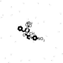 Cc1c(C(=O)N2CCN(C(=O)OC(C)(C)C)CC2Cc2ccccc2)ccn1-c1ccc([N+](=O)[O-])cc1